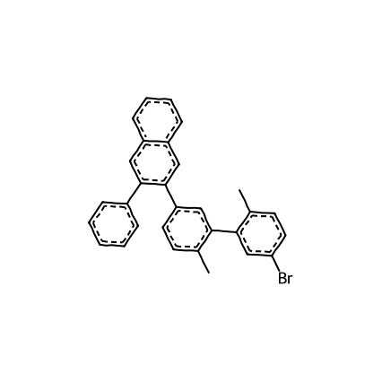 Cc1ccc(Br)cc1-c1cc(-c2cc3ccccc3cc2-c2ccccc2)ccc1C